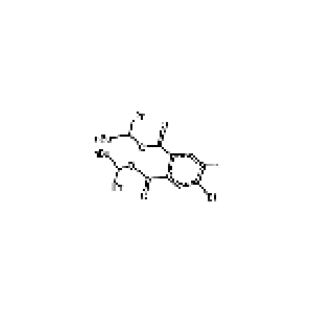 CCCCC(OC(=O)c1cc(C)c(CC)cc1C(=O)OC(CCCC)C(C)C)C(C)C